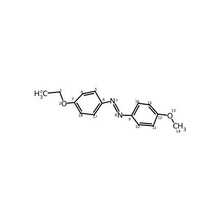 CCOc1ccc(N=Nc2ccc(OC)cc2)cc1